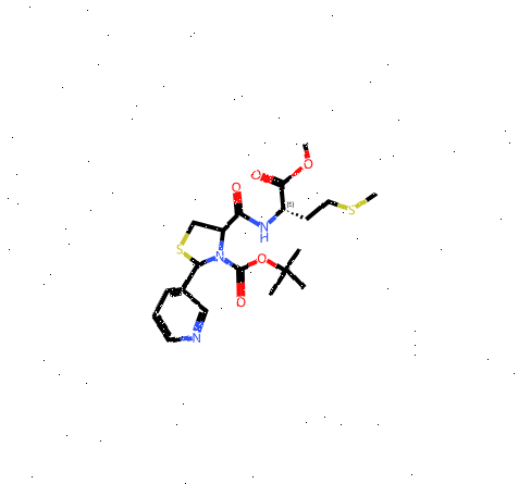 COC(=O)[C@H](CCSC)NC(=O)C1CSC(c2cccnc2)N1C(=O)OC(C)(C)C